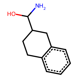 NC(O)C1CCc2ccccc2C1